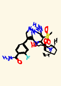 CS(=O)(=O)c1c([C@H]2C[C@H]3CC[C@@H](C2)N3C(=O)CO)nc2c(-c3ccc(C(N)=O)c(F)c3)cnn2c1N